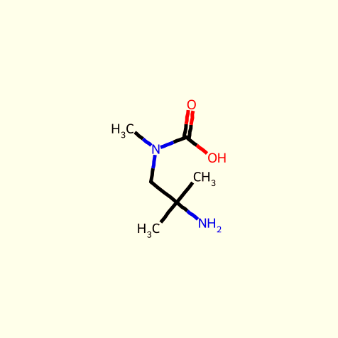 CN(CC(C)(C)N)C(=O)O